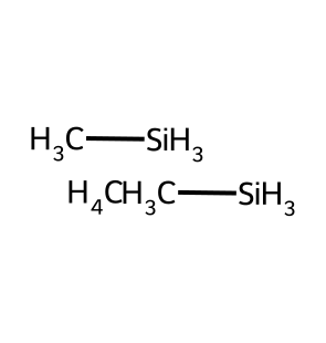 C.C[SiH3].C[SiH3]